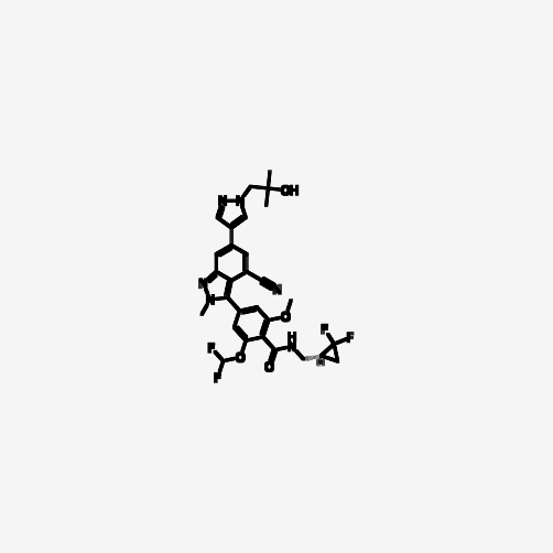 COc1cc(-c2c3c(C#N)cc(-c4cnn(CC(C)(C)O)c4)cc3nn2C)cc(OC(F)F)c1C(=O)NC[C@H]1CC1(F)F